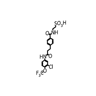 O=C(CCc1ccc(C(=O)NCCS(=O)(=O)O)cc1)Nc1ccc(OC(F)(F)F)c(Cl)c1